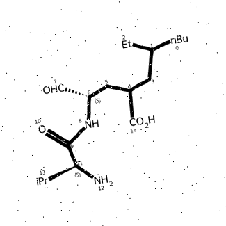 CCCCC(CC)CC(C[C@@H]([C]=O)NC(=O)[C@@H](N)C(C)C)C(=O)O